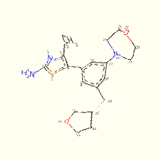 Cc1nc(N)sc1-c1cc(C[C@@H]2CCOC2)cc(N2CCOCC2)c1